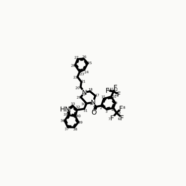 O=C(c1cc(C(F)(F)F)cc(C(F)(F)F)c1)N1CCN(CCCc2ccccc2)CC1Cc1c[nH]c2ccccc12